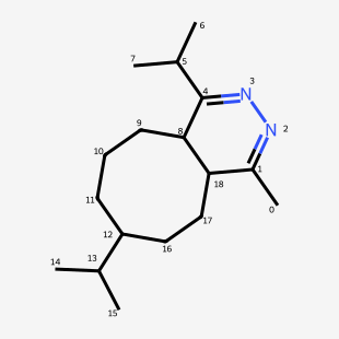 CC1=NN=C(C(C)C)C2CCCC(C(C)C)CCC12